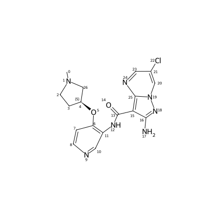 CN1CC[C@H](Oc2ccncc2NC(=O)c2c(N)nn3cc(Cl)cnc23)C1